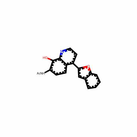 CC(=O)Nc1ccc2c(-c3cc4ccccc4o3)ccnc2c1O